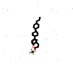 CCCC1CCC(C2CCC(c3ccc4c(c3)CCC(OC(F)(F)F)O4)CC2)CC1